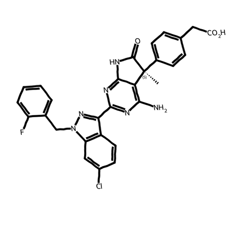 C[C@@]1(c2ccc(CC(=O)O)cc2)C(=O)Nc2nc(-c3nn(Cc4ccccc4F)c4cc(Cl)ccc34)nc(N)c21